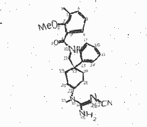 COc1c(C)cccc1C(=O)NC[C@]1(c2ccccc2)CC[C@H](N(C)C(N)=NC#N)CC1